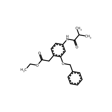 CCOC(=O)Cc1ccc(NC(=O)C(C)C)cc1OCc1ccccc1